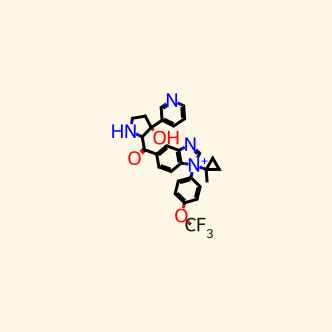 CC1([N+]2(c3ccc(OC(F)(F)F)cc3)C=Nc3cc(C(=O)C4NCCC4(O)c4cccnc4)ccc32)CC1